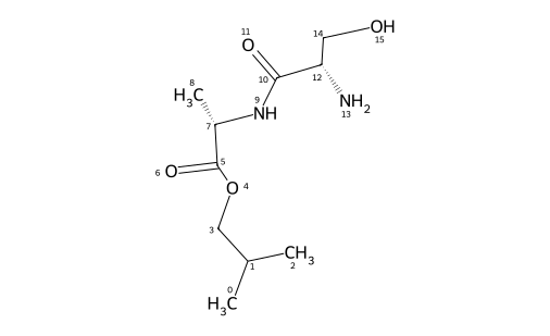 CC(C)COC(=O)[C@H](C)NC(=O)[C@@H](N)CO